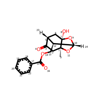 C[C@]12CC(=O)[C@@H]3C[C@@]1(O)O[C@H](O2)[C@H]3COC(=O)c1ccccc1